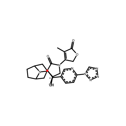 CC1=C(N2CC(O)C3(CC4CCC(C3)N4C[C@H](O)c3ccc(-n4cnnn4)nc3)C2=O)COC1=O